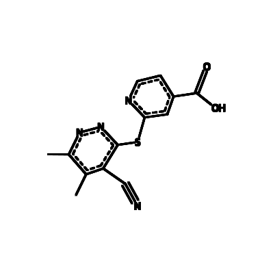 Cc1nnc(Sc2cc(C(=O)O)ccn2)c(C#N)c1C